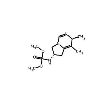 COP(=O)(N[C@H]1CC2=C(C)[C@H](C)N=CN2C1)OC